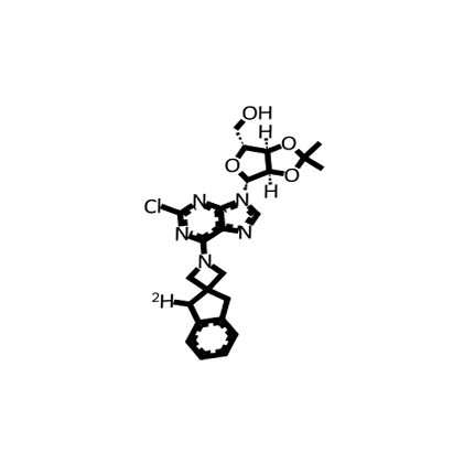 [2H]C1c2ccccc2CC12CN(c1nc(Cl)nc3c1ncn3[C@@H]1O[C@H](CO)[C@H]3OC(C)(C)O[C@H]31)C2